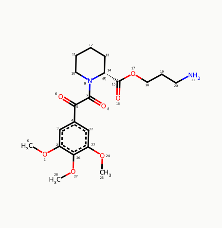 COc1cc(C(=O)C(=O)N2CCCC[C@@H]2C(=O)OCCCN)cc(OC)c1OC